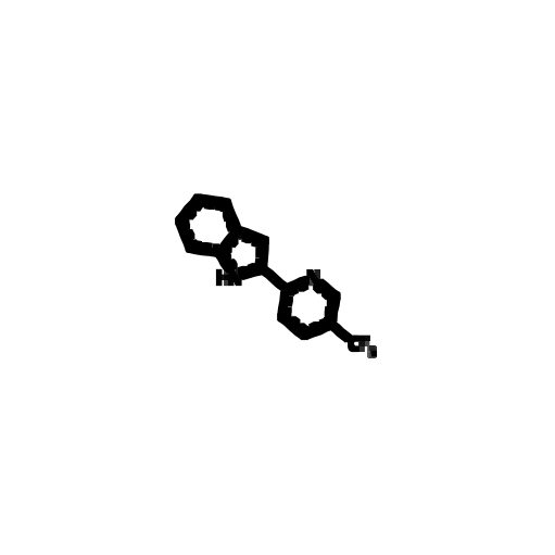 FC(F)(F)c1ccc(-c2cc3ccccc3[nH]2)nc1